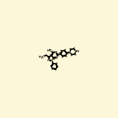 CCc1nn(-c2ccccc2)c2nc(-c3ccc(N4CCNCC4)cc3)nc(O)c12